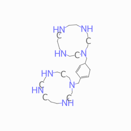 C1=CC(CN2CCCNCCNCCCNCC2)CC=C1CN1CCCNCCNCCCNCC1